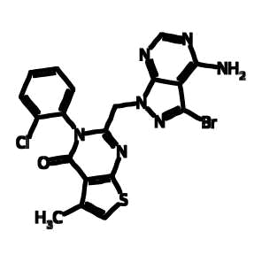 Cc1csc2nc(Cn3nc(Br)c4c(N)ncnc43)n(-c3ccccc3Cl)c(=O)c12